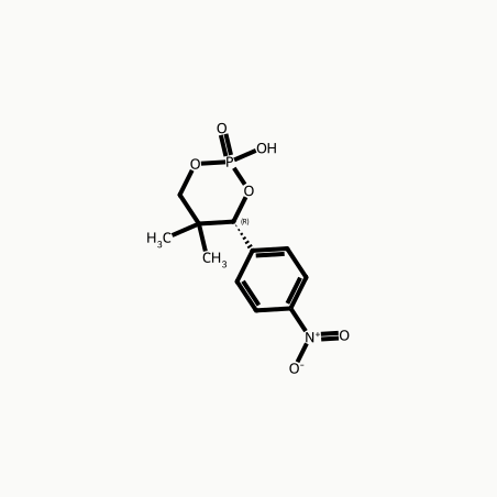 CC1(C)COP(=O)(O)O[C@@H]1c1ccc([N+](=O)[O-])cc1